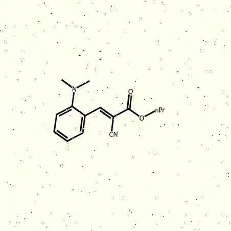 CCCOC(=O)/C(C#N)=C/c1ccccc1N(C)C